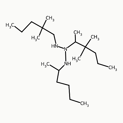 CCCCC(C)NN(NCC(C)(C)CCC)C(C)C(C)(C)CCC